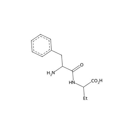 CCC(NC(=O)C(N)Cc1ccccc1)C(=O)O